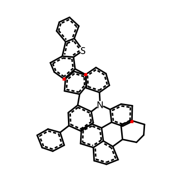 c1ccc(-c2ccc(N(c3cccc(-c4cccc5c4sc4ccccc45)c3)c3ccccc3-c3cccc4cccc(C5CCCCC5)c34)c(-c3ccccc3)c2)cc1